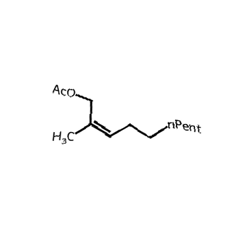 CCCCCCCC=C(C)COC(C)=O